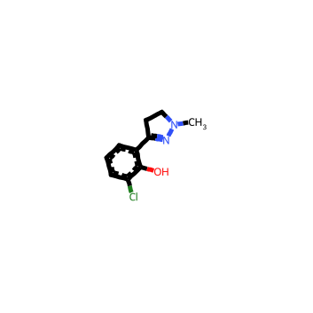 CN1CCC(c2cccc(Cl)c2O)=N1